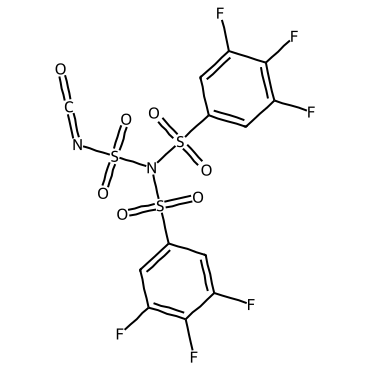 O=C=NS(=O)(=O)N(S(=O)(=O)c1cc(F)c(F)c(F)c1)S(=O)(=O)c1cc(F)c(F)c(F)c1